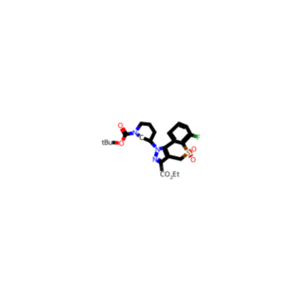 CCOC(=O)c1nn(C2CCCN(C(=O)OC(C)(C)C)C2)c2c1CS(=O)(=O)c1c(F)cccc1-2